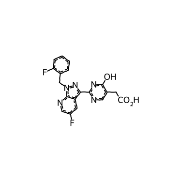 O=C(O)Cc1cnc(-c2nn(Cc3ccccc3F)c3ncc(F)cc23)nc1O